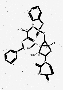 C[C@@H](NP(=S)(Oc1ccccc1)OC1[C@H]2O[C@@H](n3ccc(=O)[nH]c3=O)[C@H](O)[C@@]12CO)C(=O)OCc1ccccc1